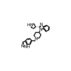 c1ccc2c(c1)nc([C@@H]1CCNC1)n2C1CCN(Cc2ccc3cn[nH]c3c2)CC1